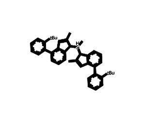 CC1=Cc2c(-c3ccccc3C(C)(C)C)cccc2C1[SiH](C)C1C(C)=Cc2c(-c3ccccc3C(C)(C)C)cccc21